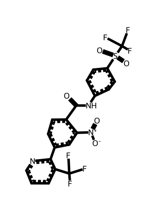 O=C(Nc1ccc(S(=O)(=O)C(F)(F)F)cc1)c1ccc(-c2ncccc2C(F)(F)F)cc1[N+](=O)[O-]